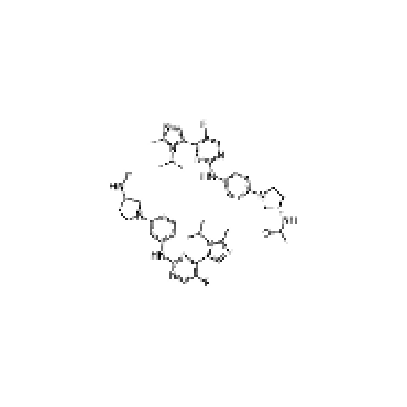 CC(=O)N[C@H]1CCN(c2ccc(Nc3ncc(F)c(-c4cnc(C)n4C(C)C)n3)cc2)C1.Cc1ncc(-c2nc(Nc3cccc(N4CCC(NF)C4)c3)ncc2F)n1C(C)C